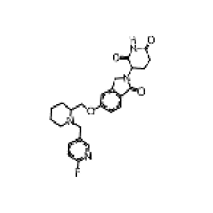 O=C1CCC(N2Cc3cc(OCC4CCCCN4Cc4ccc(F)nc4)ccc3C2=O)C(=O)N1